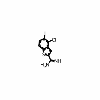 N=C(N)c1cc2c(Cl)c(I)ccc2s1